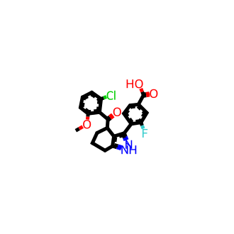 COc1cccc(Cl)c1C(=O)C1CCCc2[nH]nc(-c3ccc(C(=O)O)cc3F)c21